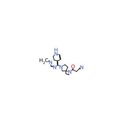 C=N/C=N\C(=C1\C=CNCC1)N1CCC2(CCN2C(=O)CC#N)C1